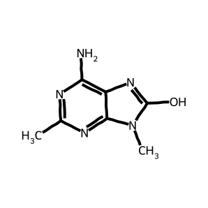 Cc1nc(N)c2nc(O)n(C)c2n1